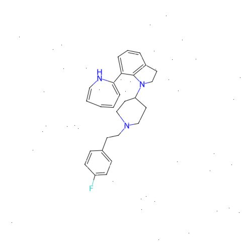 Fc1ccc(CCN2CCC(N3CCc4cccc(C5=CC=CC=CN5)c43)CC2)cc1